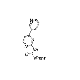 CCCCCC(=O)Nc1nccc(-c2cccnc2)n1